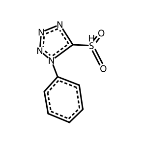 O=[SH](=O)c1nnnn1-c1ccccc1